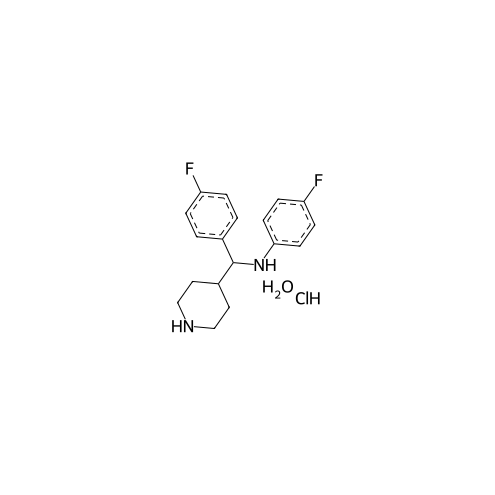 Cl.Fc1ccc(NC(c2ccc(F)cc2)C2CCNCC2)cc1.O